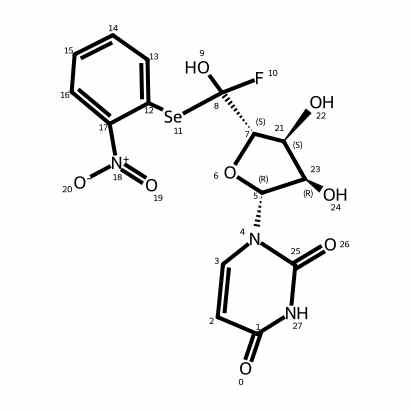 O=c1ccn([C@@H]2O[C@H](C(O)(F)[Se]c3ccccc3[N+](=O)[O-])[C@@H](O)[C@H]2O)c(=O)[nH]1